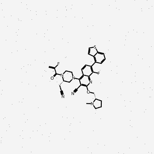 C=C(F)C(=O)N1CCN(c2c(C#N)c(OC[C@@H]3CCCN3C)nc3c(F)c(-c4cccc5sccc45)ccc23)C[C@@H]1CC#N